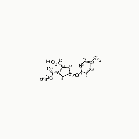 CC(C)(C)OC(=O)N1CC(Oc2ccc(C(F)(F)F)cn2)CC1C(=O)O